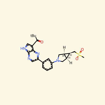 CC(C)(C)C(=O)c1c[nH]c2ncc(-c3cccc(N4C[C@@H]5[C@H](C4)[C@@H]5CS(C)(=O)=O)c3)nc12